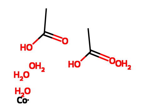 CC(=O)O.CC(=O)O.O.O.O.O.[Co]